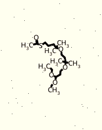 CCOC(CCOC(C)(C)CCOC(C)(C)CCCSC(C)=O)OCC